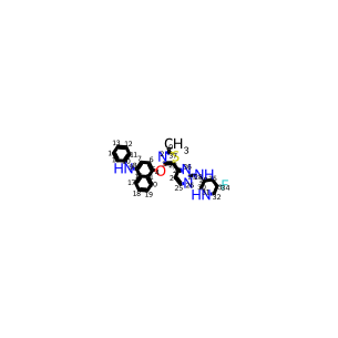 Cc1nc(Oc2ccc(Nc3ccccc3)c3ccccc23)c(-c2ccnc(N[C@@H]3CNC[C@@H](F)C3)n2)s1